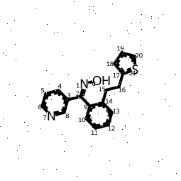 ON=C(c1cccnc1)c1ccccc1CCc1cccs1